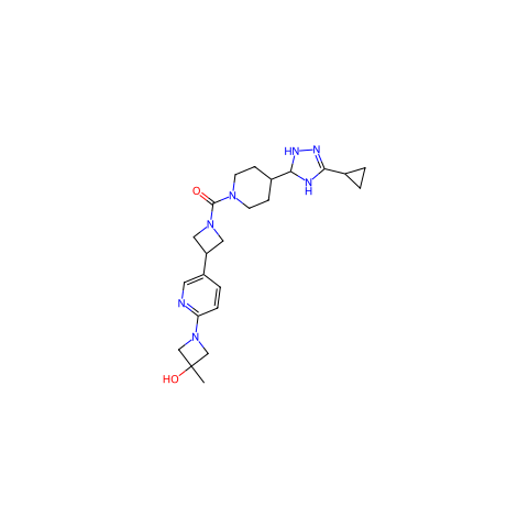 CC1(O)CN(c2ccc(C3CN(C(=O)N4CCC(C5NN=C(C6CC6)N5)CC4)C3)cn2)C1